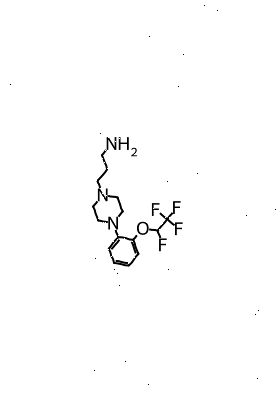 NCCCN1CCN(c2ccccc2OC(F)C(F)(F)F)CC1